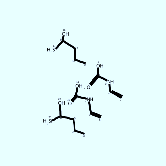 C=CNC(=O)O.C=CNC(=O)O.CCCC(O)[SiH3].CCCC(O)[SiH3]